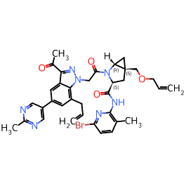 C=CCOC[C@@]12C[C@@H](C(=O)Nc3nc(Br)ccc3C)N(C(=O)Cn3nc(C(C)=O)c4cc(-c5cnc(C)nc5)cc(CC=C)c43)[C@@H]1C2